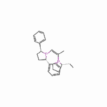 CC[C@@H]1CCCP1/C(C)=C\P1[C@H](c2ccccc2)CC[C@H]1c1ccccc1